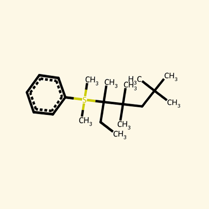 CCC(C)(C(C)(C)CC(C)(C)C)S(C)(C)c1ccccc1